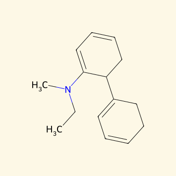 CCN(C)C1=CC=CCC1C1=CC=CCC1